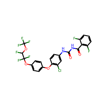 O=C(NC(=O)c1c(F)cccc1F)Nc1ccc(Oc2ccc(OC(F)(F)C(F)OC(F)(F)F)cc2)c(Cl)c1